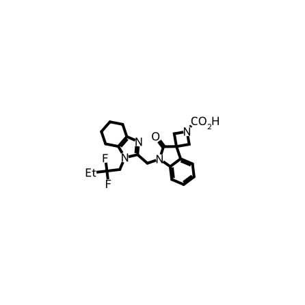 CCC(F)(F)Cn1c(CN2C(=O)C3(CN(C(=O)O)C3)c3ccccc32)nc2c1CCCC2